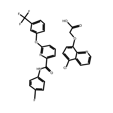 O=C(Nc1ccc(F)cc1)c1cccc(Oc2cccc(C(F)(F)F)c2)n1.O=C(O)COc1ccc(Cl)c2cccnc12